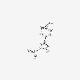 CC(C)(C)c1nn(-c2ccc(F)cc2)cc1C(=O)Cl